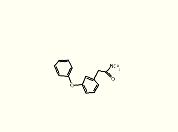 O=C(Cc1cccc(Oc2ccccc2)c1)NC(F)(F)F